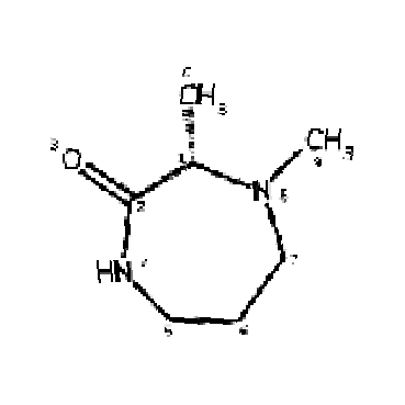 C[C@H]1C(=O)NCCCN1C